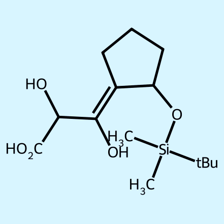 CC(C)(C)[Si](C)(C)OC1CCCC1=C(O)C(O)C(=O)O